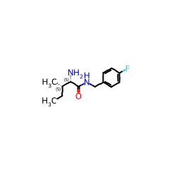 CC[C@H](C)[C@H](N)C(=O)NCc1ccc(F)cc1